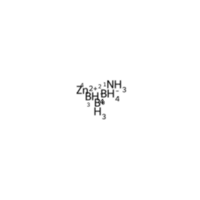 B.N.[BH4-].[BH4-].[Zn+2]